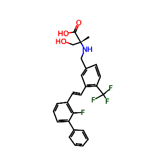 C[C@](CO)(NCc1ccc(C(F)(F)F)c(/C=C/c2cccc(-c3ccccc3)c2F)c1)C(=O)O